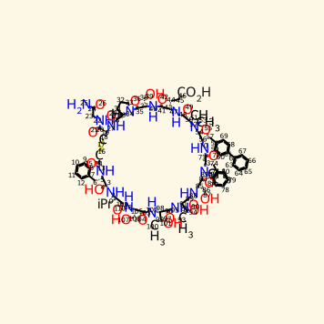 CC(C)[C@@H]1NC(O)[C@H](Cc2ccccc2)NC(=O)CSC[C@@H](C(=O)NCC(N)=O)NC(=O)[C@@H]2CCCN2C(=O)[C@H](CO)NC(=O)[C@H](CCC(=O)O)NC(=O)[C@H](C)N(C)C(=O)[C@H](Cc2ccc(-c3ccccc3)cc2)NC(=O)[C@H](Cc2ccccc2)N(C)C(=O)[C@H](CO)NC(=O)[C@H]([C@@H](C)O)NC(=O)[C@H]([C@@H](C)O)NC(=O)[C@H](CO)NC1=O